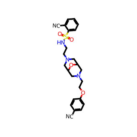 N#Cc1ccc(OCCN2CC3CN(CCNS(=O)(=O)c4ccccc4C#N)CC(C2)O3)cc1